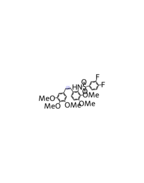 COc1cc(/C=C\c2ccc(OC)c(OC)c2NS(=O)(=O)c2ccc(F)c(F)c2)cc(OC)c1OC